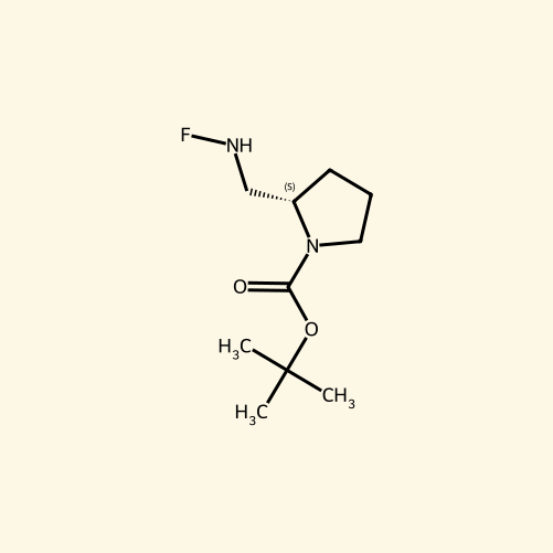 CC(C)(C)OC(=O)N1CCC[C@H]1CNF